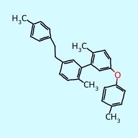 Cc1ccc(CCc2ccc(C)c(-c3cc(Oc4ccc(C)cc4)ccc3C)c2)cc1